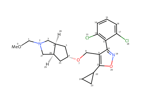 COCN1C[C@H]2C[C@H](OCc3c(-c4c(Cl)cccc4Cl)noc3C3CC3)C[C@H]2C1